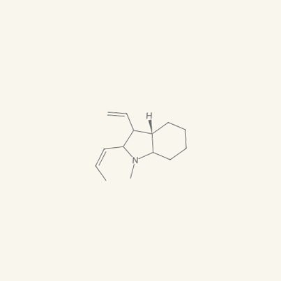 C=CC1C(/C=C\C)N(C)C2CCCC[C@@H]12